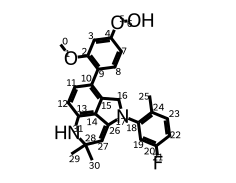 COc1cc(OO)ccc1-c1ccc2c3c1CN(c1cc(F)ccc1C)C3=CC(C)(C)N2